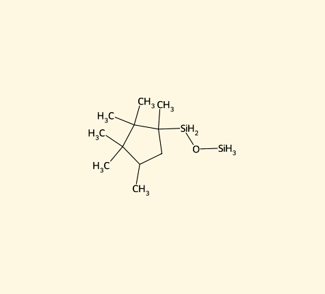 CC1CC(C)([SiH2]O[SiH3])C(C)(C)C1(C)C